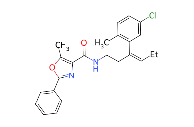 CC/C=C(/CCNC(=O)c1nc(-c2ccccc2)oc1C)c1cc(Cl)ccc1C